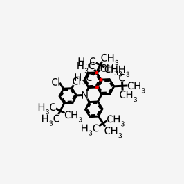 CC(C)(C)c1ccc(N(c2ccc(C(C)(C)C)cc2-c2cc(C(C)(C)C)cc(C(C)(C)C)c2)c2cc(C(C)(C)C)cc(Cl)c2Cl)cc1